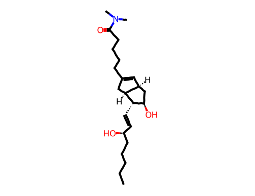 CCCCC[C@@H](O)/C=C/[C@@H]1[C@H]2CC(CCCCC(=O)N(C)C)=C[C@H]2C[C@H]1O